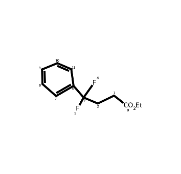 CCOC(=O)CCC(F)(F)c1ccccc1